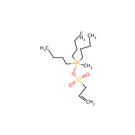 C=CCS(=O)(=O)OP(C)(CCCC)(CCCC)CCCC